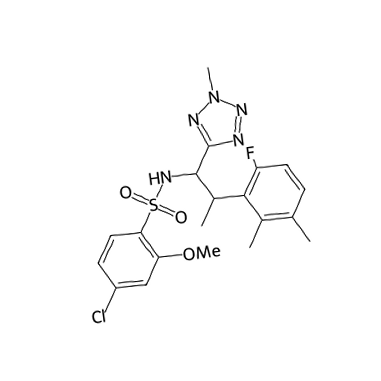 COc1cc(Cl)ccc1S(=O)(=O)NC(c1nnn(C)n1)C(C)c1c(F)ccc(C)c1C